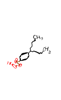 CCCCCC(CCCC)c1ccc(S(=O)(=O)O)cc1